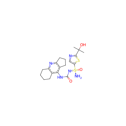 CC(C)(O)c1ncc([S@](N)(=O)=NC(=O)Nc2c3c(nc4c2CCC4)CCCC3)s1